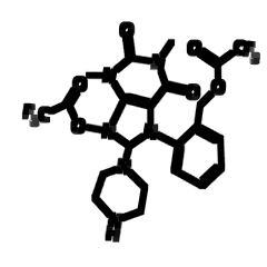 Cn1c2c(c(=O)n(C)c1=O)N(c1ccccc1COC(=O)C(F)(F)F)C(N1CCNCC1)N2OC(=O)C(F)(F)F